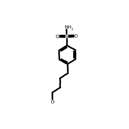 NS(=O)(=O)c1ccc(CCCC[O])cc1